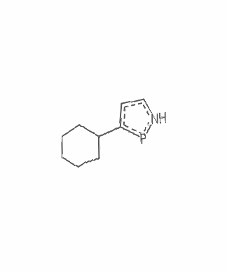 c1cc(C2CCCCC2)p[nH]1